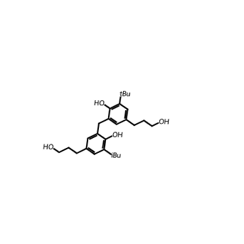 CCC(C)c1cc(CCCO)cc(Cc2cc(CCCO)cc(C(C)(C)C)c2O)c1O